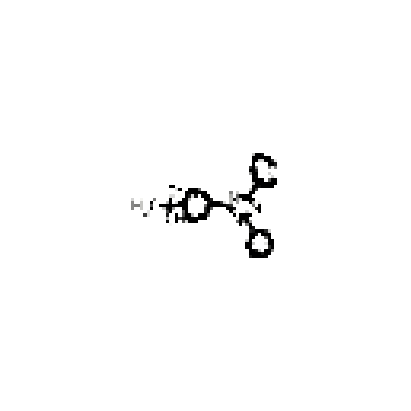 CCC(C)(C)c1ccc(-c2nc(-c3ccccc3)nc(-c3ccccc3)n2)cc1